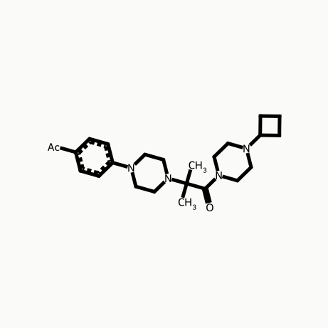 CC(=O)c1ccc(N2CCN(C(C)(C)C(=O)N3CCN(C4CCC4)CC3)CC2)cc1